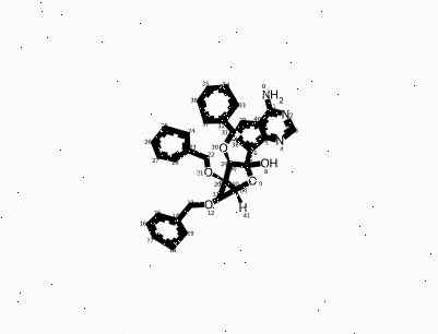 Nc1ncnc2c(C3(O)O[C@@H]4C(OCc5ccccc5)[C@]4(OCc4ccccc4)[C@H]3OCc3ccccc3)scc12